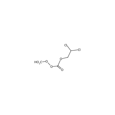 O=C(O)OOC(=O)OCC(Cl)Cl